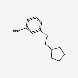 CCCCc1cccc(OCC2CCCC2)c1